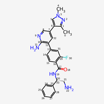 Cc1nn(C)cc1-c1cnc(N)c(-c2ccc(C(=O)N[C@H](CN)c3ccccc3)c(F)c2)c1